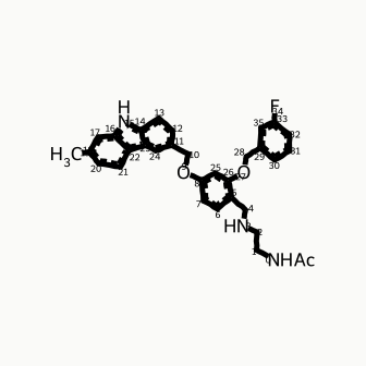 CC(=O)NCCNCc1ccc(OCc2ccc3[nH]c4cc(C)ccc4c3c2)cc1OCc1cccc(F)c1